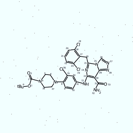 CC(C)(C)OC(=O)N1CCN(c2ccc(Nc3nc(Cc4c(Cl)cccc4Cl)n4cnnc4c3C(N)=O)cc2Cl)CC1